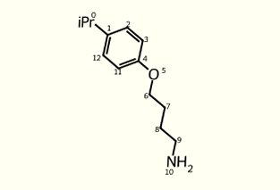 CC(C)c1ccc(OCCCCN)cc1